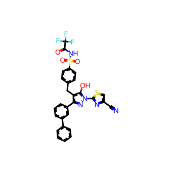 N#Cc1csc(-n2nc(-c3cccc(-c4ccccc4)c3)c(Cc3ccc(S(=O)(=O)NC(=O)C(F)(F)F)cc3)c2O)n1